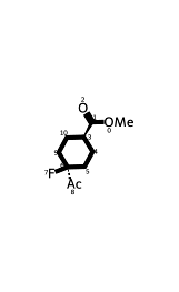 COC(=O)[C@H]1CC[C@](F)(C(C)=O)CC1